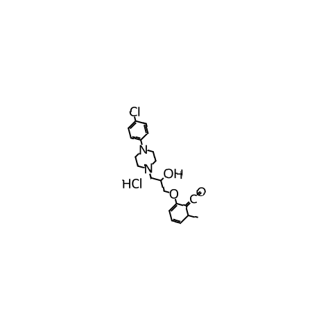 CC1C=CC=C(OCC(O)CN2CCN(c3ccc(Cl)cc3)CC2)C1=C=O.Cl